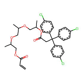 C=CC(=O)OCC(C)OCC(C)OCC(C)OC(=O)CC(c1ccc(Cl)cc1)(c1ccc(Cl)cc1)c1ccc(Cl)cc1